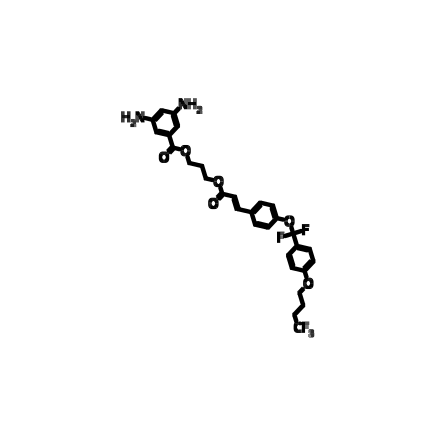 Nc1cc(N)cc(C(=O)OCCCOC(=O)C=Cc2ccc(OC(F)(F)c3ccc(OCCCC(F)(F)F)cc3)cc2)c1